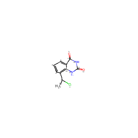 CC(Cl)c1cccc2c(=O)[nH]c(=O)[nH]c12